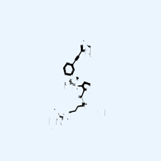 Cn1cncc1C#Cc1cccc(S(=O)(=O)Nc2ccsc2C(=O)N[C@@H](CCCNC(=N)N)C(=O)O)c1